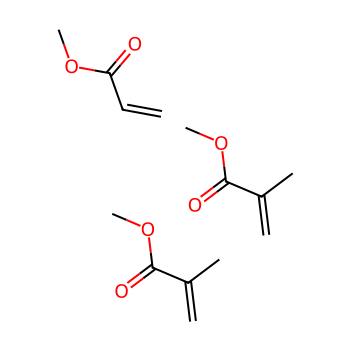 C=C(C)C(=O)OC.C=C(C)C(=O)OC.C=CC(=O)OC